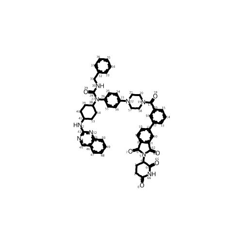 O=C1CCC(N2C(=O)c3ccc(-c4cccc(C(=O)N5CCN(c6ccc(N(C(=O)NCc7ccccc7)C7CCC(Nc8ncc9ccccc9n8)CC7)cc6)CC5)c4)cc3C2=O)C(=O)N1